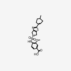 COc1cc(C(=O)O)ccc1NS(=O)(=O)N1Cc2nc(C3=CCC(C)CC3)sc2C1